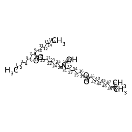 CCCCCCCCC(CCCCCCCC)C(=O)OCCCCCCCN(CCO)CCCCCCCOC(=O)CCCCCCCC=C(C)C